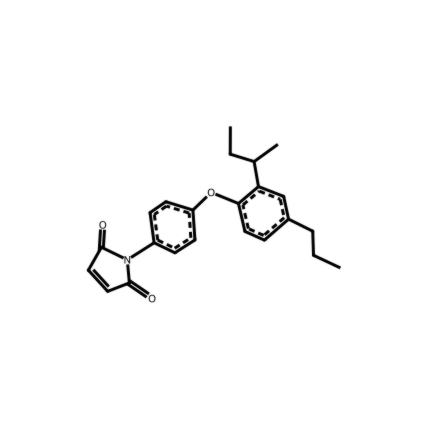 CCCc1ccc(Oc2ccc(N3C(=O)C=CC3=O)cc2)c(C(C)CC)c1